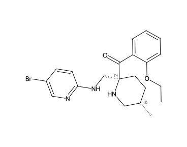 CCOc1ccccc1C(=O)[C@@]1(CNc2ccc(Br)cn2)CC[C@H](C)CN1